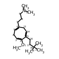 COC1=CC/C=C(/CCCN(C)C)C/C=C\1CCC(C)(C)C